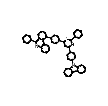 c1ccc(-c2nc(-c3ccc(-c4cccc5c(-c6ccccc6)nc6ccccc6c45)cc3)cc(-c3ccc(-n4c5ccccc5c5ccccc54)cc3)n2)cc1